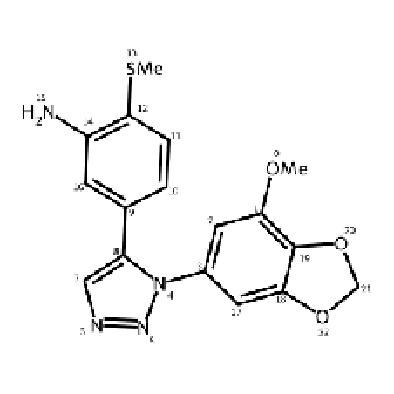 COc1cc(-n2nncc2-c2ccc(SC)c(N)c2)cc2c1OCO2